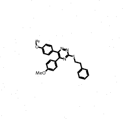 COc1ccc(-c2nc(SCCc3ccccc3)nnc2-c2ccc(OC(C)C)cc2)cc1